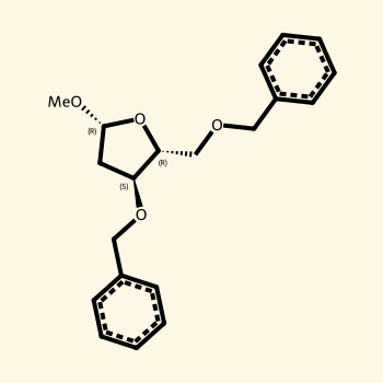 CO[C@H]1C[C@H](OCc2ccccc2)[C@@H](COCc2ccccc2)O1